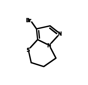 Brc1cnn2c1SCCC2